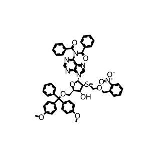 COc1ccc(C(OC[C@H]2O[C@H](n3cnc4c(N(C(=O)c5ccccc5)C(=O)c5ccccc5)ncnc43)[C@@H]([Se]COCc3ccccc3[N+](=O)[O-])[C@@H]2O)(c2ccccc2)c2ccc(OC)cc2)cc1